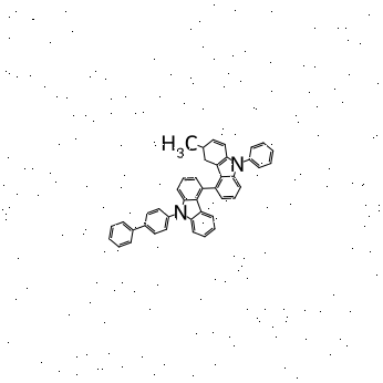 CC1C=Cc2c(c3c(-c4cccc5c4c4ccccc4n5-c4ccc(-c5ccccc5)cc4)cccc3n2-c2ccccc2)C1